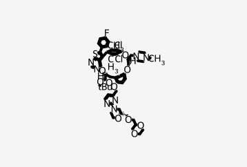 Cc1c(Cl)c2c(Cl)c(C)c1-c1c(-c3ccc(F)cc3)sc3ncnc(c13)O[C@@H](C(=O)OC(C)(C)C)Cc1cc(ccc1OCc1ccnc(N3CCO[C@@H](COCC4COCCO4)C3)n1)OC[C@@H](CN1CCN(C)CC1)O2